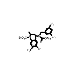 CCOC(=O)N1c2cc(C(F)(F)F)c(Br)cc2C(N(Cc2cc(C(F)(F)F)cc(C(F)(F)F)c2)C(=O)OC)CC1C